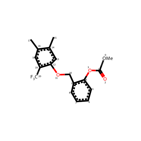 COC(=O)Oc1ccccc1COc1cc(C)c(C)cc1C(F)(F)F